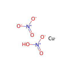 O=[N+]([O-])O.O=[N+]([O-])[O-].[Cu]